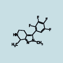 CC1NCCc2c1nn(C)c2-c1cc(F)c(F)c(F)c1F